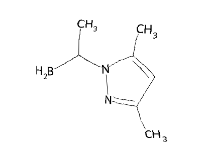 BC(C)n1nc(C)cc1C